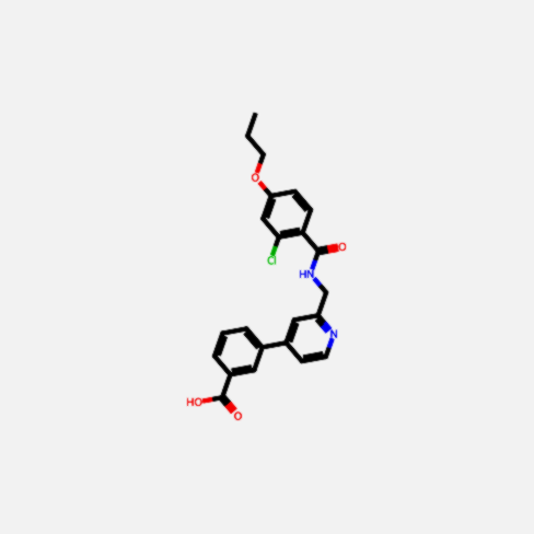 CCCOc1ccc(C(=O)NCc2cc(-c3cccc(C(=O)O)c3)ccn2)c(Cl)c1